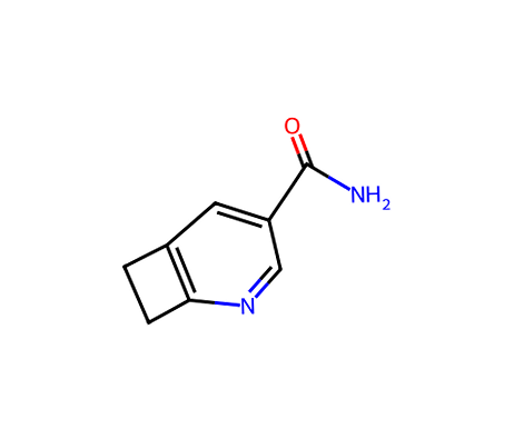 NC(=O)c1cnc2c(c1)CC2